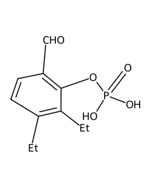 CCc1ccc(C=O)c(OP(=O)(O)O)c1CC